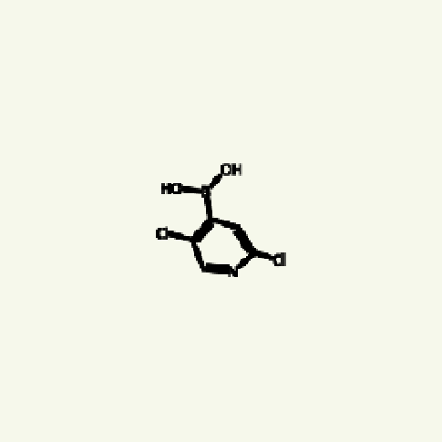 OB(O)c1cc(Cl)ncc1Cl